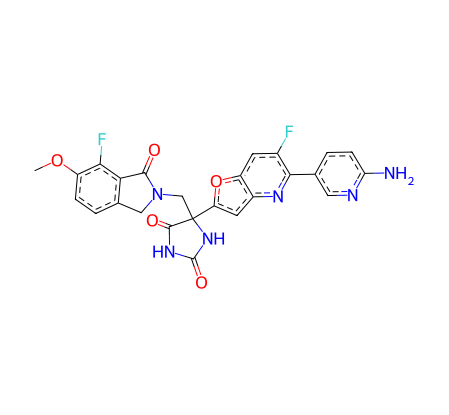 COc1ccc2c(c1F)C(=O)N(CC1(c3cc4nc(-c5ccc(N)nc5)c(F)cc4o3)NC(=O)NC1=O)C2